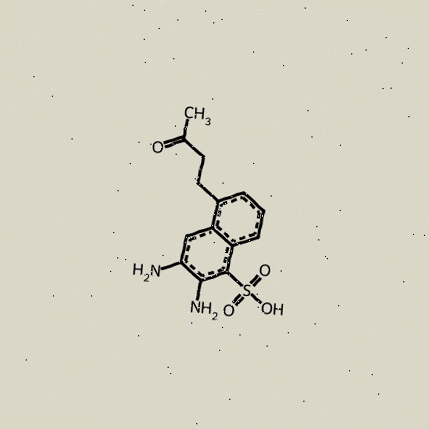 CC(=O)CCc1cccc2c(S(=O)(=O)O)c(N)c(N)cc12